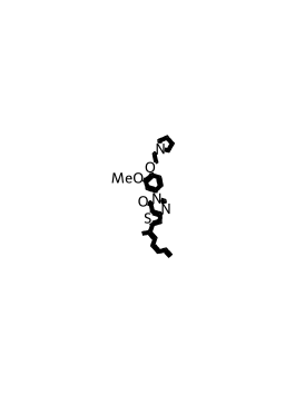 C=C/C=C\C=C(/C)c1cc2ncn(-c3ccc(OCCN4CCCC4)c(OC)c3)c(=O)c2s1